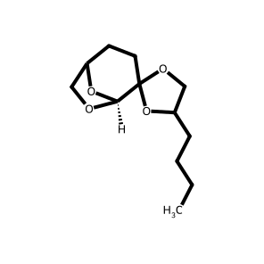 CCCCC1COC2(CCC3CO[C@H]2O3)O1